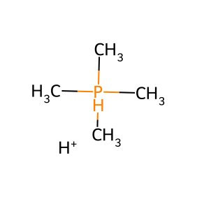 C[PH](C)(C)C.[H+]